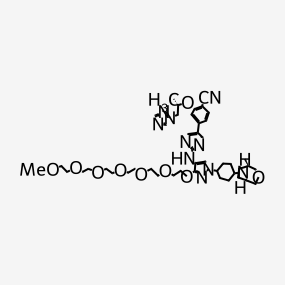 COCCOCCOCCOCCOCCOCCOc1nn(C2CCC(N3[C@@H]4CC[C@H]3COC4)CC2)cc1Nc1ncc(-c2ccc(C#N)c(O[C@@H](C)Cn3cncn3)c2)cn1